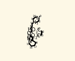 CN1CCN(CCCCOc2cc3n(n2)CCCC3)CC1.O=C(O)/C=C\C(=O)O